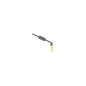 CC#C[C]=S